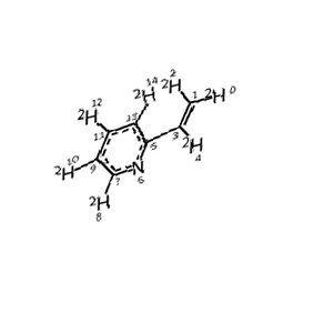 [2H]C([2H])=C([2H])c1nc([2H])c([2H])c([2H])c1[2H]